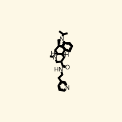 CC(C)n1cc2c3c(cccc31)[C@H]1CC(C(=O)NCCc3cccnc3)CN(C)[C@@H]1C2